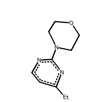 CCc1ccnc(N2CCOCC2)n1